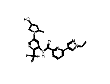 CCn1cc(-c2cccc(C(=O)Nc3cc(N4CC(O)CC4C)cnc3C(F)(F)F)n2)cn1